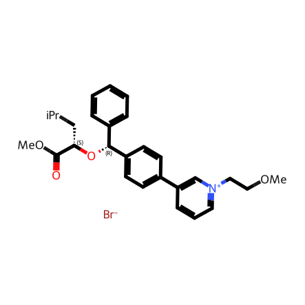 COCC[n+]1cccc(-c2ccc([C@H](O[C@@H](CC(C)C)C(=O)OC)c3ccccc3)cc2)c1.[Br-]